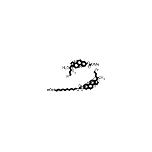 CCCCCCCC/C=C/CCCCCCCCOC(=O)O[C@H]1CC[C@@]2(C)C(=CC[C@@]3(C)[C@@H]4CC[C@H]([C@H](C)CCCC(C)C)[C@@]4(C)CC[C@@H]32)C1.COC(=O)O[C@H]1CC[C@@]2(C)C(=CC[C@H]3[C@@H]4CC[C@H]([C@H](C)CCCC(C)C)[C@@]4(C)CC[C@@H]32)C1